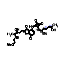 COCCNN(C)N(O)CCN1Cc2c(Cl)ccc(Nc3c(N[C@@H](/C=C/C=C(/C)O)C(C)(C)C)c(=O)c3=O)c2C1=O